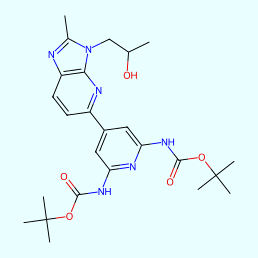 Cc1nc2ccc(-c3cc(NC(=O)OC(C)(C)C)nc(NC(=O)OC(C)(C)C)c3)nc2n1CC(C)O